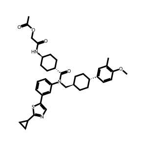 COc1ccc([C@H]2CC[C@H](CN(c3cccc(-c4cnc(C5CC5)s4)c3)C(=O)[C@H]3CC[C@H](NC(=O)COC(C)=O)CC3)CC2)cc1C